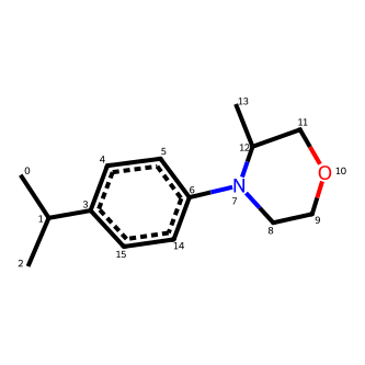 CC(C)c1ccc(N2CCOCC2C)cc1